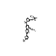 CC(=O)N(C)C1CCN(C(=O)c2cc(N)n3nc(-c4ccc(Br)o4)nc3c2)C1